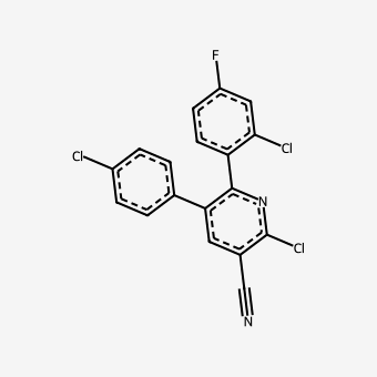 N#Cc1cc(-c2ccc(Cl)cc2)c(-c2ccc(F)cc2Cl)nc1Cl